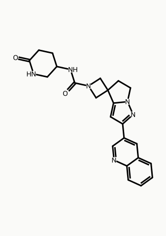 O=C1CCC(NC(=O)N2CC3(CCn4nc(-c5cnc6ccccc6c5)cc43)C2)CN1